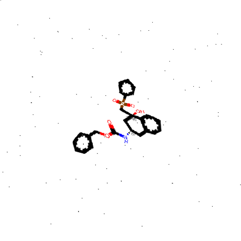 O=C(N[C@H]1Cc2ccccc2[C@@](O)(CS(=O)(=O)c2ccccc2)C1)OCc1ccccc1